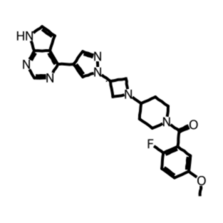 COc1ccc(F)c(C(=O)N2CCC(N3C[C](n4cc(-c5ncnc6[nH]ccc56)cn4)C3)CC2)c1